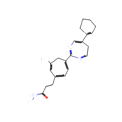 CC1=CC(CCC(=O)NC(C)C)=CC=C(C2=NC=C(C3=CCCCC3)CC=N2)C1